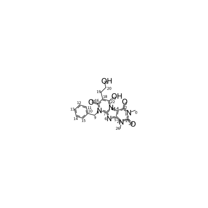 Cn1c(=O)c2c(nc3n(Cc4ccccc4)c(=O)c(CCO)c(O)n23)n(C)c1=O